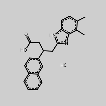 Cc1ccc2[nH]c(CC(CC(=O)O)c3ccc4ccccc4c3)nc2c1C.Cl